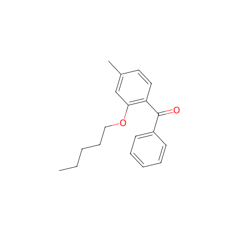 CCCCCOc1cc(C)ccc1C(=O)c1ccccc1